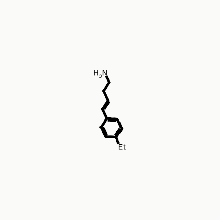 CCc1ccc(/C=C/CCN)cc1